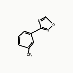 FC(F)(F)c1cccc(-c2n[c]on2)c1